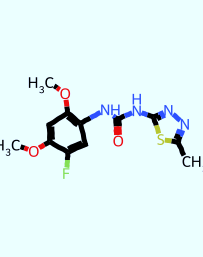 COc1cc(OC)c(NC(=O)Nc2nnc(C)s2)cc1F